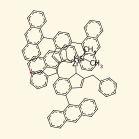 C[SiH](C)[Zr]([CH]1C(Cc2ccccc2)=Cc2c(-c3c4ccccc4cc4ccccc34)ccc(-c3c4ccccc4cc4ccccc34)c21)[CH]1C(Cc2ccccc2)=Cc2c(-c3c4ccccc4cc4ccccc34)ccc(-c3c4ccccc4cc4ccccc34)c21